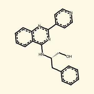 OC[C@H](Cc1ccccc1)Nc1nc(-c2ccncc2)nc2ccccc12